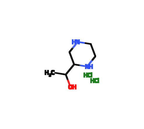 CC(O)C1CNCCN1.Cl.Cl